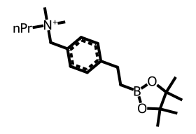 CCC[N+](C)(C)Cc1ccc(CCB2OC(C)(C)C(C)(C)O2)cc1